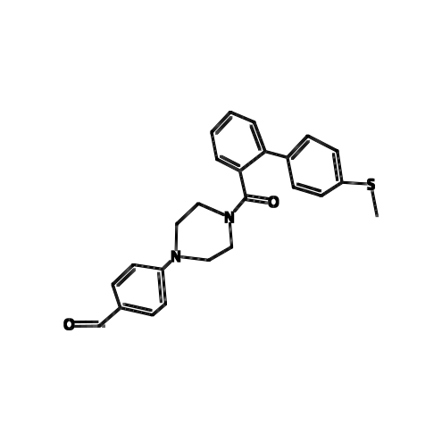 CSc1ccc(-c2ccccc2C(=O)N2CCN(c3ccc([C]=O)cc3)CC2)cc1